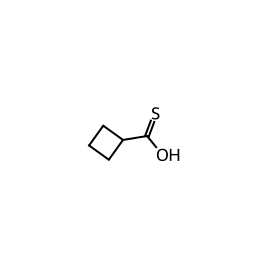 OC(=S)C1CCC1